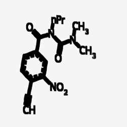 C#Cc1ccc(C(=O)N(CCC)C(=O)N(C)C)cc1[N+](=O)[O-]